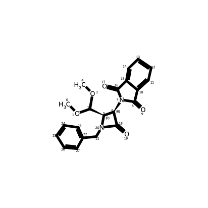 COC(OC)[C@H]1[C@@H](N2C(=O)c3ccccc3C2=O)C(=O)N1Cc1ccccc1